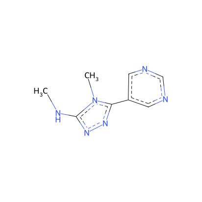 CNc1nnc(-c2cncnc2)n1C